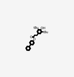 CC(C)(C)c1cc(CCC(=O)Oc2ccc(-c3ccccc3)cc2)cc(C(C)(C)C)c1O